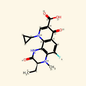 CC[C@H]1C(=O)Nc2c(c(F)cc3c(=O)c(C(=O)O)cn(C4CC4)c23)N1C